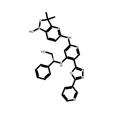 CC1(C)OB(O)c2ccc(Nc3cc(N[C@H](CO)c4ccccc4)c(-c4nnc(-c5cccnc5)o4)cn3)nc21